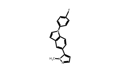 Cn1nccc1-c1ccc2c(ccn2-c2ccc(F)cc2)c1